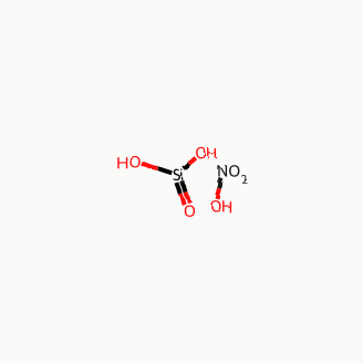 O=[N+]([O-])O.O=[Si](O)O